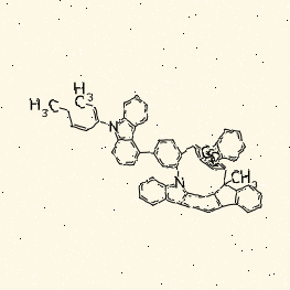 C/C=C(\C=C/CC)n1c2ccccc2c2c(-c3ccc4c(c3)-n3c5ccccc5c5cc6c(cc53)C(C)(c3ccccc3-6)c3ccc-4c4sc5ccccc5c34)cccc21